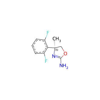 C[C@]1(c2c(F)cccc2F)COC(N)=N1